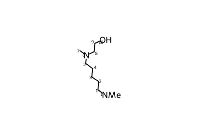 CNCCCCCN(C)CCO